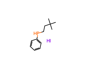 CC(C)(C)CCPc1ccccc1.I